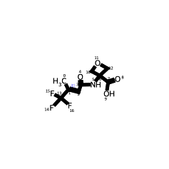 C/C(=C\C(=O)NC1(C(=O)O)COC1)C(F)(F)F